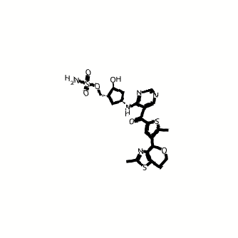 Cc1nc2c(s1)CCOC2c1cc(C(=O)c2cncnc2N[C@@H]2C[C@H](COS(N)(=O)=O)[C@@H](O)C2)sc1C